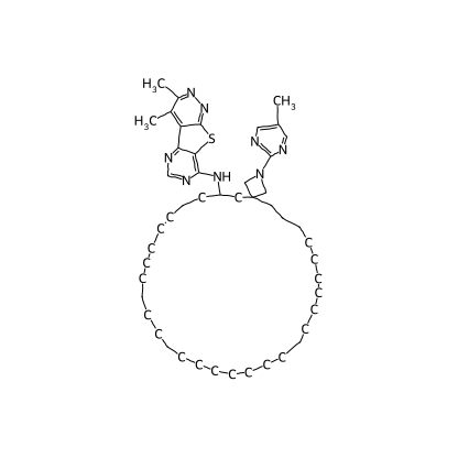 Cc1cnc(N2CC3(CCCCCCCCCCCCCCCCCCCCCCCCCCCCC(Nc4ncnc5c4sc4nnc(C)c(C)c45)C3)C2)nc1